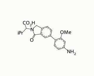 COc1cc(N)ccc1-c1ccc2c(c1)C(=O)N(C(C(=O)O)C(C)C)C2